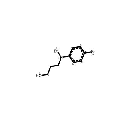 CCN(CCCO)c1ccc(Br)cc1